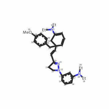 CCN(CC)C1=CC=CC(C=CC2=NN(c3cccc(N(CC)CC)c3)CC2)(Cc2ccc(OC)cc2)C1